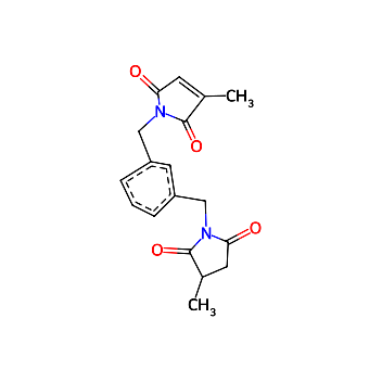 CC1=CC(=O)N(Cc2cccc(CN3C(=O)CC(C)C3=O)c2)C1=O